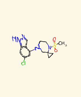 CS(=O)(=O)N1CCN(c2cc(Cl)cc3[nH]ncc23)CC12CC2